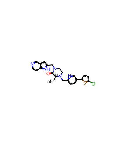 CCC[C@H]1C(=O)N(Cc2cc3cnccc3[nH]2)CCN1Cc1ccc(-c2ccc(Cl)s2)cn1